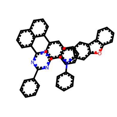 c1ccc(-c2nc(-c3ccccc3)nc(-c3cccc4cccc(-c5ccc6c(c5)c5cc7c(cc5n6-c5ccccc5)oc5ccccc57)c34)n2)cc1